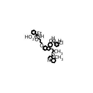 CC[C@](NC(=O)CCCOc1ccc2c(c1)C1(CCC(Nc3cccc(Cl)c3)(C(=O)O)CC1)[C@@H](C[C@@H](C)COc1ccnc3c1[C@H](C)CCC3)C2)(C(=O)O)c1ccccc1